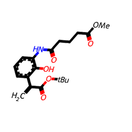 C=C(C(=O)OC(C)(C)C)c1cccc(NC(=O)CCCC(=O)OC)c1O